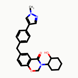 Cn1cc(-c2ccc(Cc3ccc4c(c3)C(=O)N(C3CCCCC3O)CO4)cc2)cn1